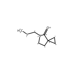 CSCN1CCC2(CC2)C1=O